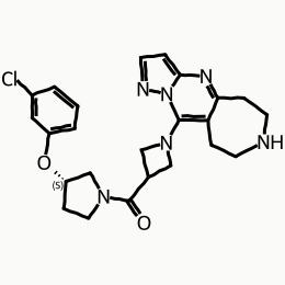 O=C(C1CN(c2c3c(nc4ccnn24)CCNCC3)C1)N1CC[C@H](Oc2cccc(Cl)c2)C1